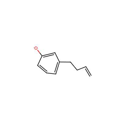 C=CCCc1cccc([O])c1